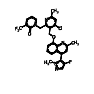 Cc1cc(Cl)c(COc2cccc3c(-c4c(F)cnn4C)cc(C)nc23)c(Cn2cccc(C(F)(F)F)c2=O)n1